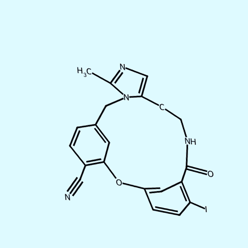 Cc1ncc2n1Cc1ccc(C#N)c(c1)Oc1ccc(I)c(c1)C(=O)NCC2